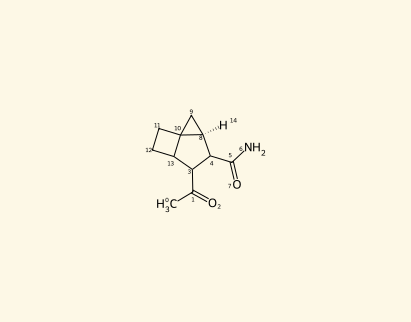 CC(=O)C1C(C(N)=O)[C@@H]2CC23CCC13